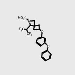 O=C(O)N1CC2(CC(Oc3cccc(Oc4ccccc4)c3)C2)C1C(C(F)(F)F)C(F)(F)F